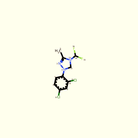 CC1=NN(c2ccc(Cl)cc2Cl)CN1C(F)F